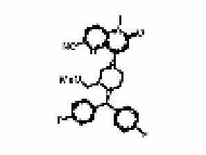 COCC1CN(c2cc(=O)n(C)c3ccc(C#N)nc23)CCN1C(c1ccc(F)cc1)c1ccc(F)cc1